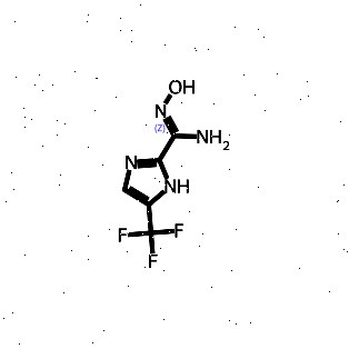 N/C(=N\O)c1ncc(C(F)(F)F)[nH]1